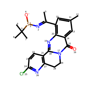 CC(=N[S+]([O-])C(C)(C)C)c1cc(C)cc2c(=O)n3c(nc12)-c1ccc(Cl)nc1CC3